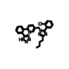 CCCCc1nc(-c2ccccc2Cl)n(Cc2ccc(-c3ccccc3-c3nnn[nH]3)nc2)n1